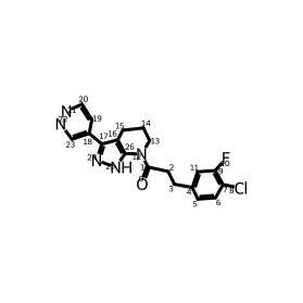 O=C(CCc1ccc(Cl)c(F)c1)N1CCCc2c(-c3ccnnc3)n[nH]c21